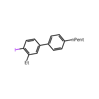 CCCCCc1ccc(-c2ccc(I)c(CC)c2)cc1